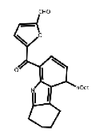 CCCCCCCCC1C=CC(C(=O)c2ccc(C=O)o2)=C2N=C3CCCCC3=C21